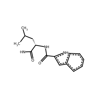 CC(C)C[C@H](NC(=O)c1cc2ccccc2[nH]1)C([NH])=O